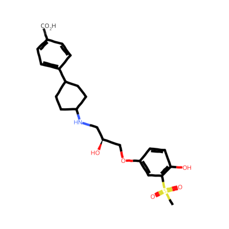 CS(=O)(=O)c1cc(OC[C@@H](O)CNC2CCC(c3ccc(C(=O)O)cc3)CC2)ccc1O